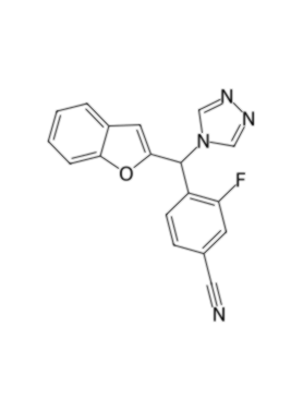 N#Cc1ccc(C(c2cc3ccccc3o2)n2cnnc2)c(F)c1